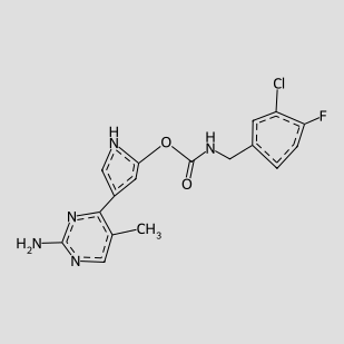 Cc1cnc(N)nc1-c1c[nH]c(OC(=O)NCc2ccc(F)c(Cl)c2)c1